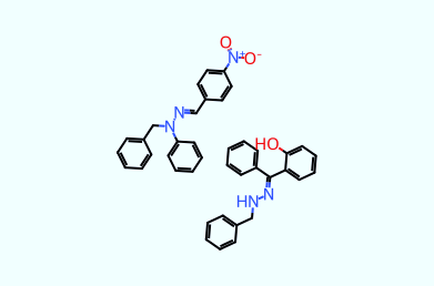 O=[N+]([O-])c1ccc(C=NN(Cc2ccccc2)c2ccccc2)cc1.Oc1ccccc1C(=NNCc1ccccc1)c1ccccc1